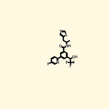 CC(Cc1cncs1)NC(=O)c1cc(-c2ccc(F)cn2)cc(C(O)C(F)(F)F)c1